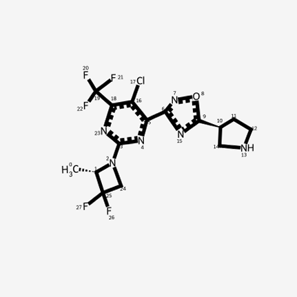 C[C@@H]1N(c2nc(-c3noc([C@H]4CCNC4)n3)c(Cl)c(C(F)(F)F)n2)CC1(F)F